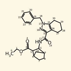 CCOC(=O)C1C2CCC(C2)C1NC(=O)c1nn(Cc2ccccc2)c2c1CCCC2